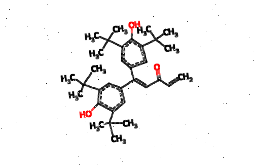 C=CC(=O)C=C(c1cc(C(C)(C)C)c(O)c(C(C)(C)C)c1)c1cc(C(C)(C)C)c(O)c(C(C)(C)C)c1